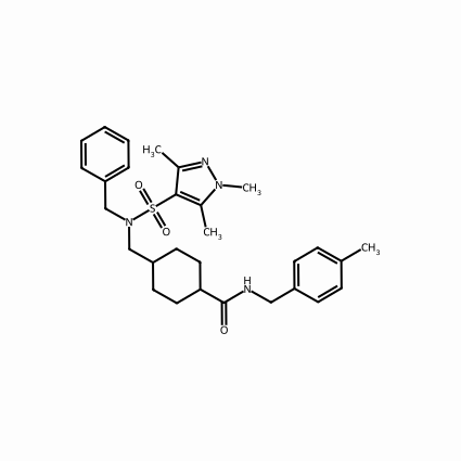 Cc1ccc(CNC(=O)C2CCC(CN(Cc3ccccc3)S(=O)(=O)c3c(C)nn(C)c3C)CC2)cc1